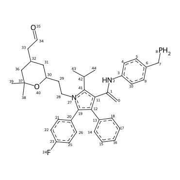 C=C(Nc1ccc(CP)cc1)c1c(-c2ccccc2)c(-c2ccc(F)cc2)n(CCC2CC(CC=O)CC(C)(C)O2)c1C(C)C